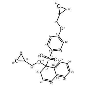 O=S(=O)(c1ccc(OCC2CO2)cc1)C1(OCC2CO2)CC=Cc2ccccc21